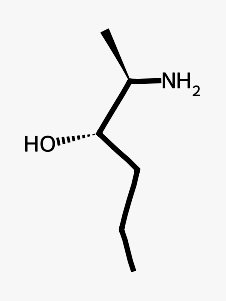 CCC[C@H](O)[C@@H](C)N